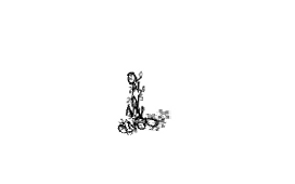 CC(=O)N1CCN(c2ncc(C(=O)N3CCOCC3)c(-c3cccc(C)c3)n2)CC1